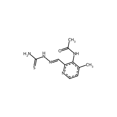 CC(=O)Nc1c(C)ccnc1C=NNC(N)=S